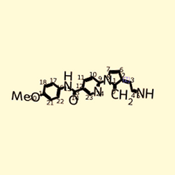 C=c1/c(=C\C=N)ccn1-c1ccc(C(=O)Nc2ccc(OC)cc2)cn1